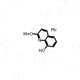 COc1ccc2cccc(O)c2n1.[Pb]